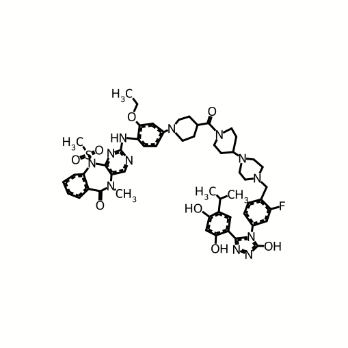 CCOc1cc(N2CCC(C(=O)N3CCC(N4CCN(Cc5ccc(-n6c(O)nnc6-c6cc(C(C)C)c(O)cc6O)cc5F)CC4)CC3)CC2)ccc1Nc1ncc2c(n1)N(S(C)(=O)=O)c1ccccc1C(=O)N2C